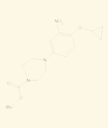 CC(C)(C)OC(=O)N1CCN(c2ccc(OC3CC3)c([N+](=O)[O-])c2)CC1